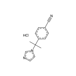 CC(C)(c1ccc(C#N)cc1)n1ccnc1.Cl